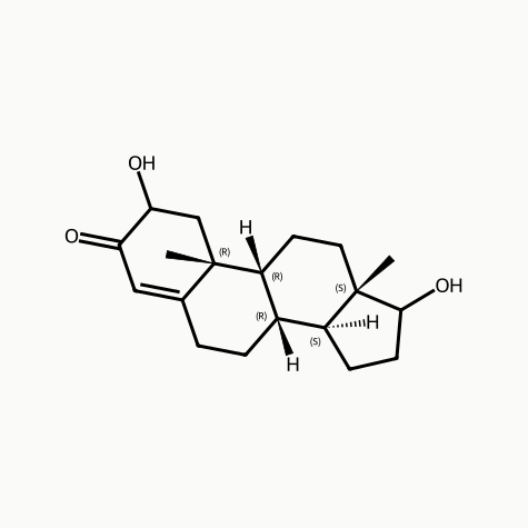 C[C@]12CC(O)C(=O)C=C1CC[C@@H]1[C@H]2CC[C@]2(C)C(O)CC[C@@H]12